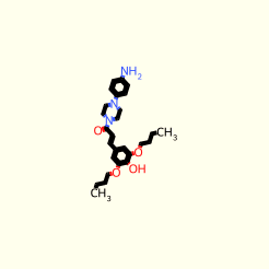 CCCCOc1cc(C=CC(=O)N2CCN(c3ccc(N)cc3)CC2)cc(OCCCC)c1O